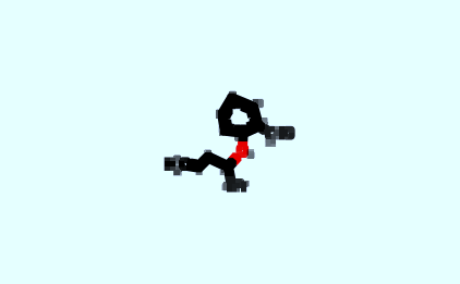 C=CCC(CCC)Oc1ccccc1C=O